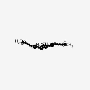 C=CC(=O)OCCCCCCOc1ccc(CCc2ccc3c(c2)C(C)(C)c2cc(CCc4ccc(OCCCCCCOC(=O)C=C)cc4)ccc2-3)cc1